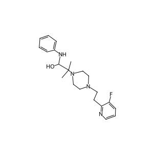 CC(C)(C(O)Nc1ccccc1)N1CCN(CCc2ncccc2F)CC1